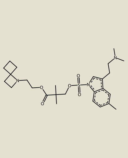 Cc1ccc2c(c1)c(CCN(C)C)cn2S(=O)(=O)OCC(C)(C)C(=O)OCCN1CCC12CCC2